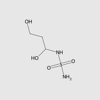 NS(=O)(=O)NC(O)CCO